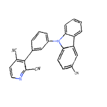 N#Cc1ccc2c(c1)c1ccccc1n2-c1cccc(-c2c(C#N)ccnc2C#N)c1